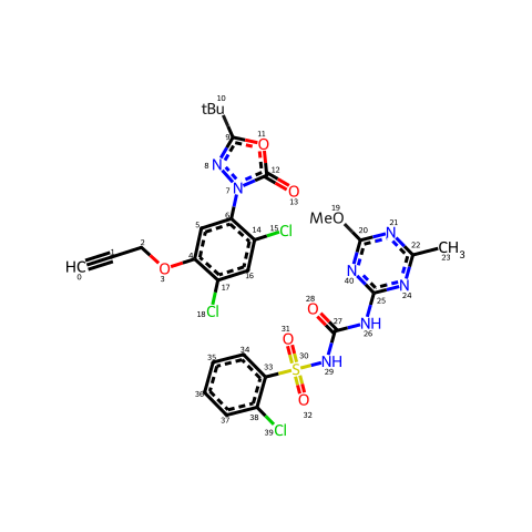 C#CCOc1cc(-n2nc(C(C)(C)C)oc2=O)c(Cl)cc1Cl.COc1nc(C)nc(NC(=O)NS(=O)(=O)c2ccccc2Cl)n1